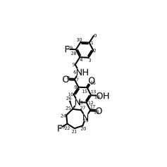 Cc1ccc(CNC(=O)c2cn3c(c(O)c2=O)C(=O)N2CCC(F)C[C@@]3(C)C2)c(F)c1